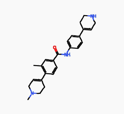 Cc1cc(C(=O)Nc2ccc(C3=CCNCC3)cc2)ccc1C1=CCN(C)CC1